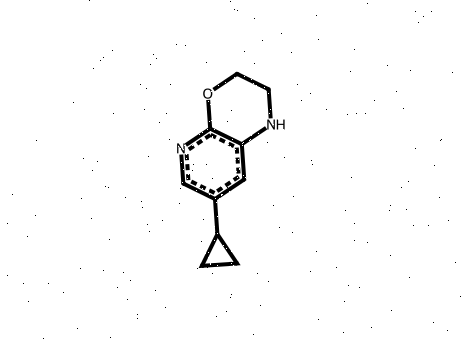 c1nc2c(cc1C1CC1)NCCO2